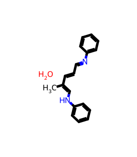 CC(C=CC=Nc1ccccc1)=CNc1ccccc1.O